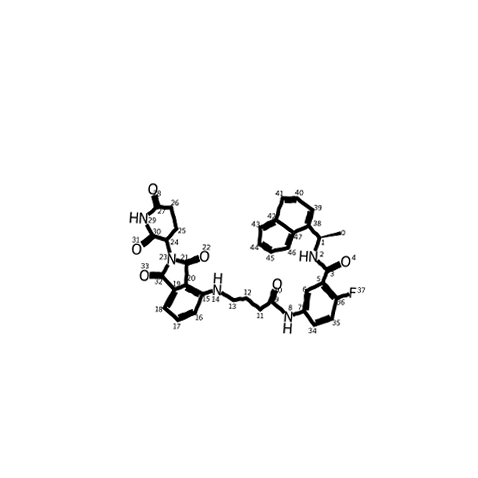 C[C@@H](NC(=O)c1cc(NC(=O)CCCNc2cccc3c2C(=O)N(C2CCC(=O)NC2=O)C3=O)ccc1F)c1cccc2ccccc12